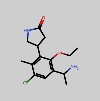 CCOc1c(C(C)N)cc(Cl)c(C)c1C1CNC(=O)C1